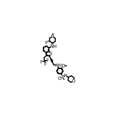 COc1cc(S(C)(=O)=NC2CCOCC2)ccc1NCC#Cc1sc2c(N[C@@H]3CCN(C)C[C@H]3F)cccc2c1CC(F)(F)F